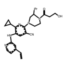 C=Cc1ccnc(Nc2cc(C#N)c(N3CCN(C(=O)CCO)C(C(C)C)C3)nc2C2CC2)c1